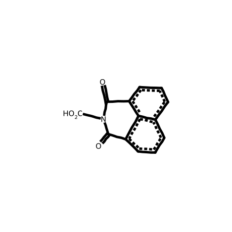 O=C(O)N1C(=O)c2cccc3cccc(c23)C1=O